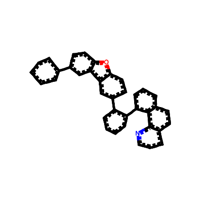 c1ccc(-c2ccc3oc4ccc(-c5ccccc5-c5cccc6ccc7cccnc7c56)cc4c3c2)cc1